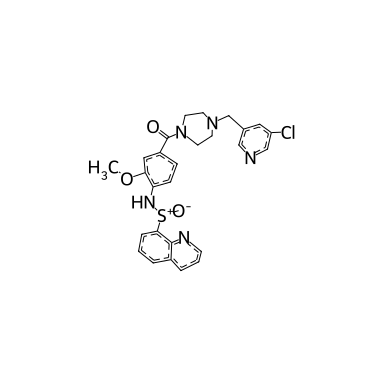 COc1cc(C(=O)N2CCN(Cc3cncc(Cl)c3)CC2)ccc1N[S+]([O-])c1cccc2cccnc12